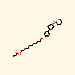 C=CC(=O)OCCCCCCCCCCCOc1ccc(-c2ccc(OC3CCCCO3)cc2)cc1